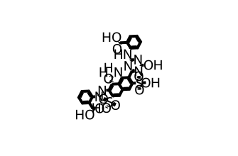 Nc1c(-c2nc(O)nc(Nc3ccccc3C(=O)O)n2)c(S(=O)(=O)O)cc2cc(S(=O)(=O)O)c(/N=N/c3ccccc3C(=O)O)c(O)c12